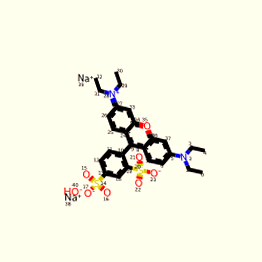 CCN(CC)c1ccc2c(-c3ccc(S(=O)(=O)[O-])cc3S(=O)(=O)[O-])c3ccc(=[N+](CC)CC)cc-3oc2c1.[Na+].[Na+].[OH-]